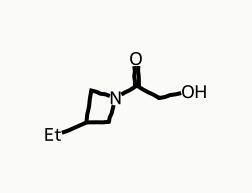 CCC1CN(C(=O)CO)C1